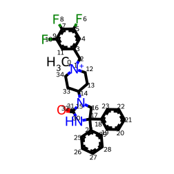 C[N+]1(Cc2cc(F)c(F)c(F)c2)CCC(N2CC(c3ccccc3)(c3ccccc3)NC2=O)CC1